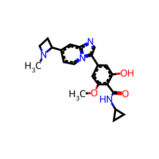 COc1cc(-c2cnc3cc(C4CCN4C)ccn23)cc(O)c1C(=O)NC1CC1